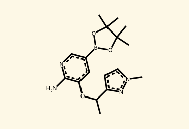 CC(Oc1cc(B2OC(C)(C)C(C)(C)O2)cnc1N)c1ccn(C)n1